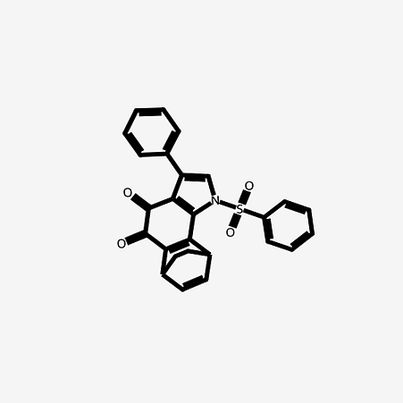 O=C1C(=O)c2c(-c3ccccc3)cn(S(=O)(=O)c3ccccc3)c2C2=C1C1C=CC2CC1